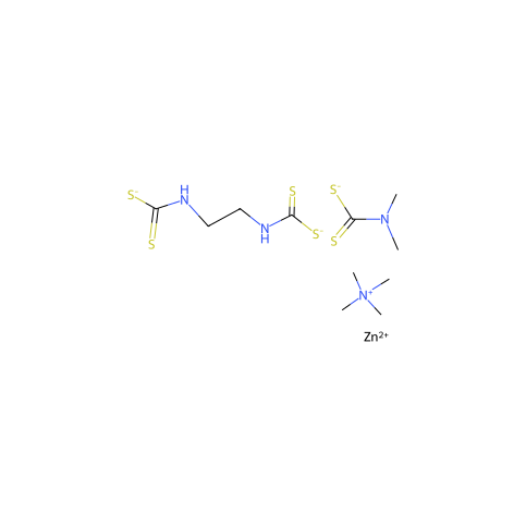 CN(C)C(=S)[S-].C[N+](C)(C)C.S=C([S-])NCCNC(=S)[S-].[Zn+2]